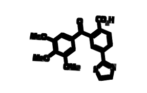 COc1cc(C(=O)c2cc(-c3nccs3)ccc2C(=O)O)cc(OC)c1OC